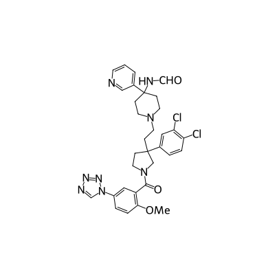 COc1ccc(-n2cnnn2)cc1C(=O)N1CCC(CCN2CCC(NC=O)(c3cccnc3)CC2)(c2ccc(Cl)c(Cl)c2)C1